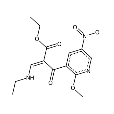 CCN/C=C(/C(=O)OCC)C(=O)c1cc([N+](=O)[O-])cnc1OC